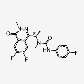 C[C@H](c1nn(C)c(=O)c2cc(F)c(F)cc12)N(C)C(=O)Nc1ccc(F)cc1